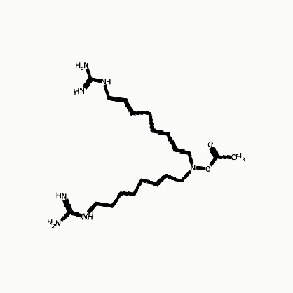 CC(=O)ON(CCCCCCCCNC(=N)N)CCCCCCCCNC(=N)N